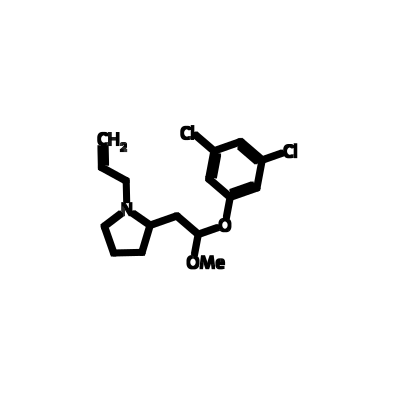 C=CCN1CCCC1CC(OC)Oc1cc(Cl)cc(Cl)c1